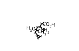 CC(C)(CC1CC1)C[C@H](N)CC(=O)O